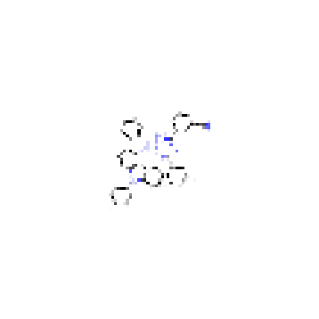 N#Cc1cccc(-c2nc(-c3ccccc3)nc(-n3c4ccccc4c4ccc5c(c6ccccc6n5-c5ccccc5)c43)n2)c1